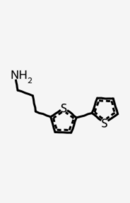 NCCCc1ccc(-c2cccs2)s1